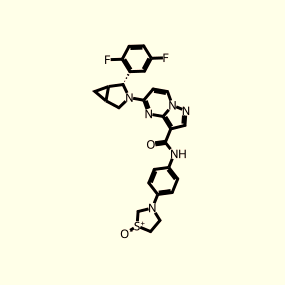 O=C(Nc1ccc(N2CC[S+]([O-])C2)cc1)c1cnn2ccc(N3CC4CC4[C@@H]3c3cc(F)ccc3F)nc12